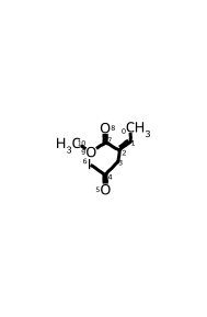 C/C=C(/CC(=O)I)C(=O)OC